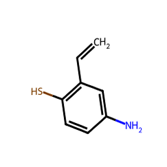 C=Cc1cc(N)ccc1S